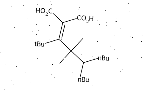 CCCCC(CCCC)C(C)(C)C(=C(C(=O)O)C(=O)O)C(C)(C)C